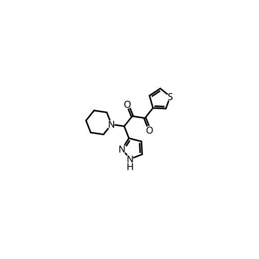 O=C(C(=O)C(c1cc[nH]n1)N1CCCCC1)c1ccsc1